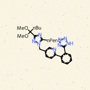 CCCCCc1nc(C(CCCC)(OC)OC)nn1Cc1ccc(-c2ccccc2-c2nnn[nH]2)nc1